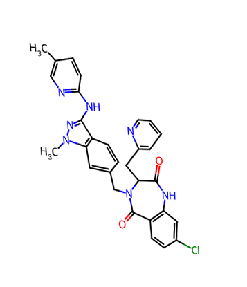 Cc1ccc(Nc2nn(C)c3cc(CN4C(=O)c5ccc(Cl)cc5NC(=O)C4Cc4ccccn4)ccc23)nc1